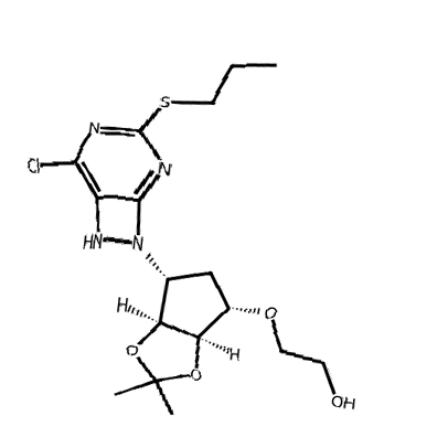 CCCSc1nc(Cl)c2[nH]n([C@@H]3C[C@H](OCCO)[C@H]4OC(C)(C)O[C@H]43)c2n1